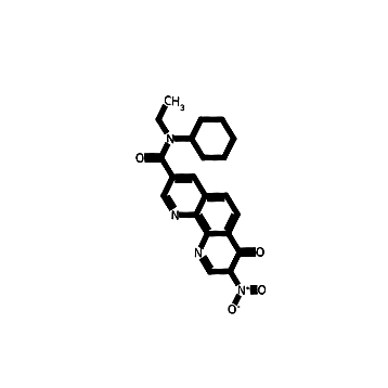 CCN(C(=O)c1cnc2c3c(ccc2c1)C(=O)C([N+](=O)[O-])C=N3)C1CCCCC1